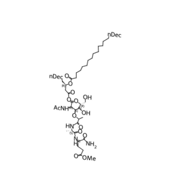 CCCCCCCCCCCCCCCCCCCCCCCC(=O)O[C@H](CCCCCCCCCCC)CC(=O)O[C@H]1O[C@H](CO)[C@@H](O)[C@@H](OC(C)C(=O)N[C@@H](C)C(=O)N[C@H](CCC(=O)OC)C(N)=O)[C@H]1NC(C)=O